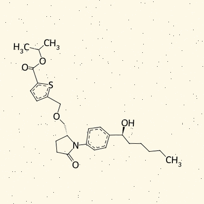 CCCCC[C@H](O)c1ccc(N2C(=O)CC[C@@H]2COCc2ccc(C(=O)OC(C)C)s2)cc1